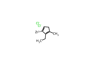 CCC1=C(C)CC=[C]1[Zr+2].[Cl-].[Cl-]